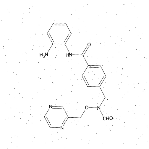 Nc1ccccc1NC(=O)c1ccc(CN(C=O)OCc2cnccn2)cc1